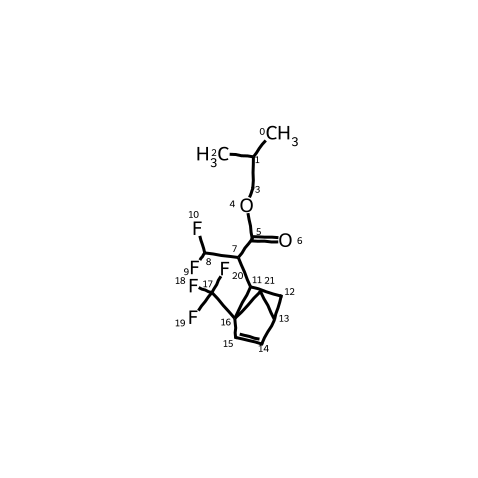 CC(C)COC(=O)C(C(F)F)C1CC2C=CC1(C(F)(F)F)C2